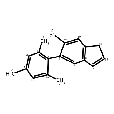 Cc1cc(C)c(-c2cc3c(cc2Br)CC=C3)c(C)c1